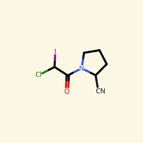 N#CC1CCCN1C(=O)C(Cl)I